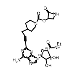 CCNC(=O)[C@H]1O[C@@H](n2cnc3c(N)nc(C#CCC4CCN(C(=O)OC5CNC5=O)CC4)nc32)C(O)[C@H]1O